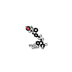 COc1ccc(C(Cc2c(Cl)cncc2Cl)C(=O)OC(=O)c2ccc(CN(C(=O)O[C@H]3CN4CCC3CC4)c3ccccc3F)cc2)cc1OC